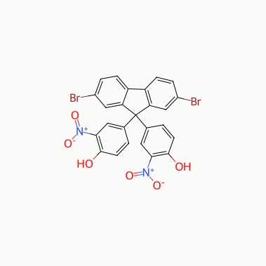 O=[N+]([O-])c1cc(C2(c3ccc(O)c([N+](=O)[O-])c3)c3cc(Br)ccc3-c3ccc(Br)cc32)ccc1O